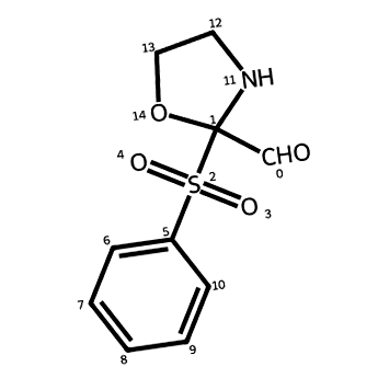 O=CC1(S(=O)(=O)c2ccccc2)NCCO1